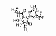 CNC(=O)C1[C@H](O)C(C)(O)C(=O)N1c1cc(C(F)(F)F)cc(C)n1